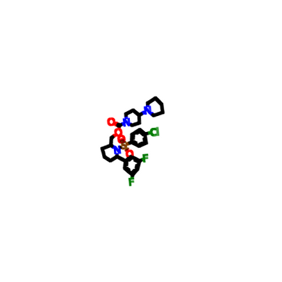 O=C(OCC1CCCC(c2cc(F)cc(F)c2)N1S(=O)(=O)c1ccc(Cl)cc1)N1CCC(N2CCCCC2)CC1